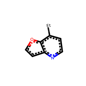 CCc1ccnc2ccoc12